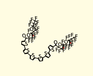 O=C(c1ccc(-c2ccc(-c3ccc(-c4ccc(-c5ccc(-c6ccc(C(=O)C(F)(OC(F)(F)C(F)(OC(F)(F)C(F)(F)C(F)(F)F)C(F)(F)F)C(F)(F)F)s6)s5)s4)s3)s2)s1)C(F)(OC(F)(F)C(F)(OC(F)(F)C(F)(F)C(F)(F)F)C(F)(F)F)C(F)(F)F